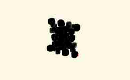 O=C(OCc1ccccc1)c1ccc2c(c1)N(c1ccccc1)c1cc(C(=O)OCc3ccccc3)cc3c1B2c1cc2c(-c4c(-c5ccccc5)cccc4-c4ccccc4)cc4c5c(cc6c(-c7c(-c8ccccc8)cccc7-c7ccccc7)cc-3c1c6c25)B1c2ccc(C(=O)OCc3ccccc3)cc2N(c2ccccc2)c2cc(C(=O)OCc3ccccc3)cc-4c21